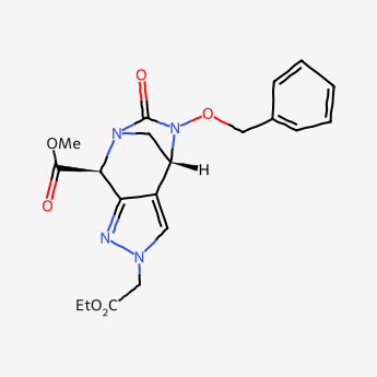 CCOC(=O)Cn1cc2c(n1)[C@@H](C(=O)OC)N1C[C@@H]2N(OCc2ccccc2)C1=O